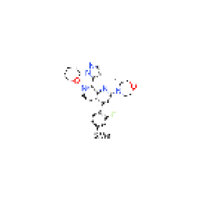 CSc1ccc(-c2cc(N3CCOC[C@H]3C)nc3c(-c4ccnn4C4CCCCO4)nccc23)c(F)c1